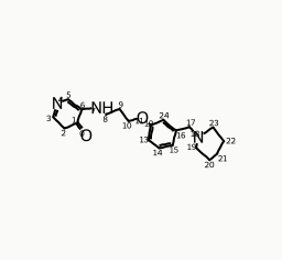 O=C1CC=NC=C1NCCCOc1cccc(CN2CCCCC2)c1